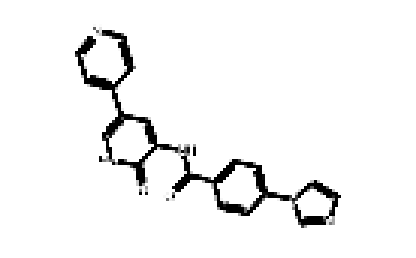 O=C(Nc1cc(-c2ccncc2)c[nH]c1=O)c1ccc(-n2ccnc2)cc1